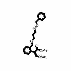 COC=C(C(=O)OC)c1ccccc1COCCC=NOCc1ccccc1